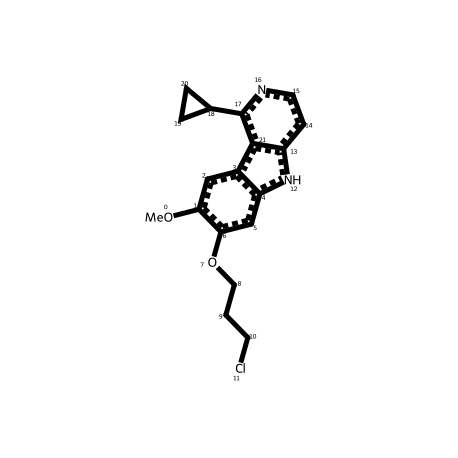 COc1cc2c(cc1OCCCCl)[nH]c1ccnc(C3CC3)c12